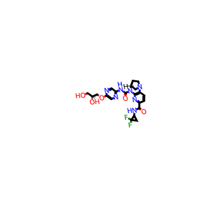 O=C(NC1CC1(F)F)c1ccc2c(n1)N(C(=O)Nc1cnc(OC[C@H](O)CO)cn1)[C@H]1CCN2C1